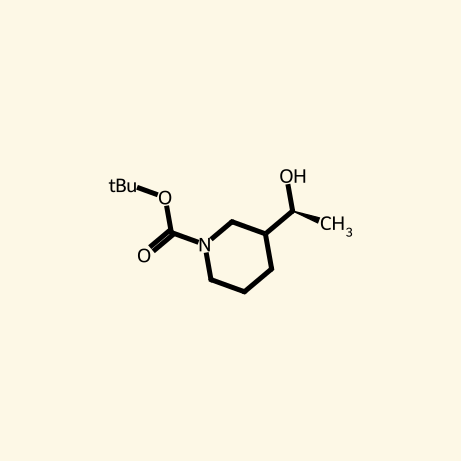 C[C@H](O)C1CCCN(C(=O)OC(C)(C)C)C1